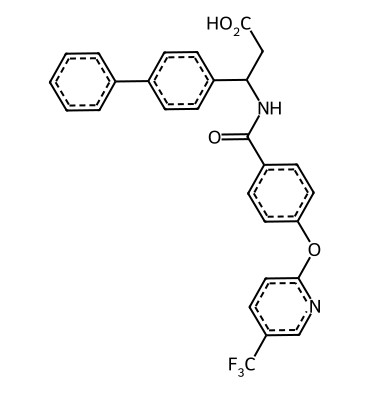 O=C(O)CC(NC(=O)c1ccc(Oc2ccc(C(F)(F)F)cn2)cc1)c1ccc(-c2ccccc2)cc1